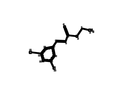 CCOC(=O)C=Cc1cc(Cl)nc(Cl)c1